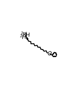 [2H]C([2H])([2H])C#CCCCCCCCCCCCCCOCc1ccccc1